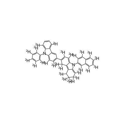 [2H]C1=C(c2cc3c4c([2H])ccc([2H])c4n(-c4c([2H])c([2H])c([2H])c([2H])c4[2H])c3c([2H])c2[2H])C([2H])([2H])c2c3c(n(-c4c([2H])c([2H])c5c([2H])c([2H])c([2H])c([2H])c5c4[2H])c2=C1[2H])=C([2H])C([2H])([2H])C([2H])([2H])C3[2H]